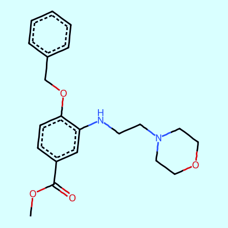 COC(=O)c1ccc(OCc2ccccc2)c(NCCN2CCOCC2)c1